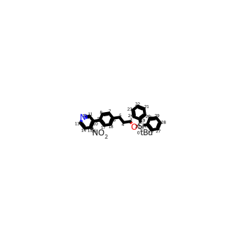 CC(C)(C)[Si](OCCCc1ccc(-c2cnccc2[N+](=O)[O-])cc1)(c1ccccc1)c1ccccc1